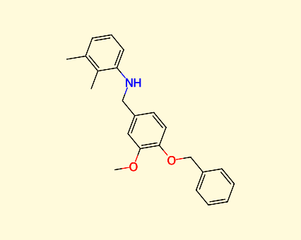 COc1cc(CNc2cccc(C)c2C)ccc1OCc1ccccc1